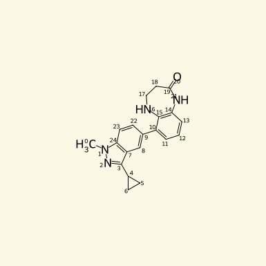 Cn1nc(C2CC2)c2cc(-c3cccc4c3NCCC(=O)N4)ccc21